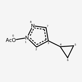 CC(=O)On1cc(C2CC2)cn1